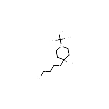 CC1(CCCCBr)CCN(C(C)(C)C)CC1